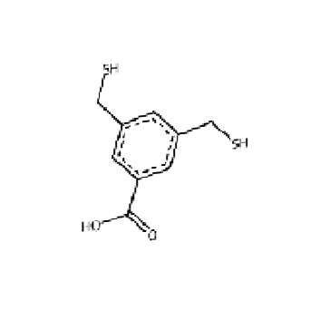 O=C(O)c1cc(CS)cc(CS)c1